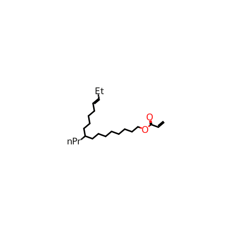 C=CC(=O)OCCCCCCCCC(CCC)CCCCC=CCC